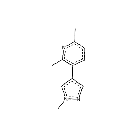 Cc1ccc(-c2cnn(C)c2)c(C)n1